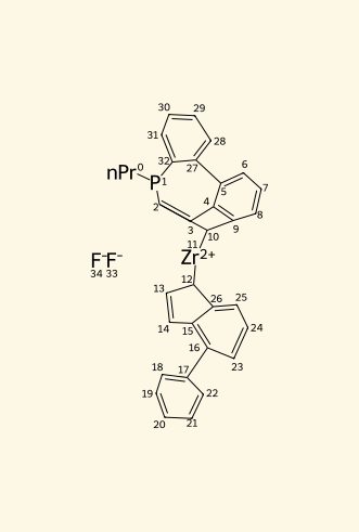 CCCP1C2=Cc3c(cccc3[CH]2[Zr+2][CH]2C=Cc3c(-c4ccccc4)cccc32)-c2ccccc21.[F-].[F-]